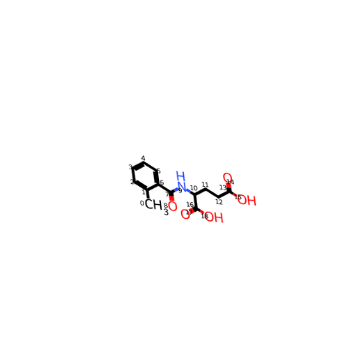 Cc1ccccc1C(=O)NC(CCC(=O)O)C(=O)O